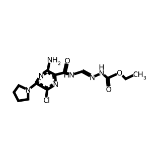 CCOC(=O)NN=CNC(=O)c1nc(Cl)c(N2CCCC2)nc1N